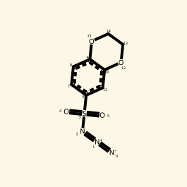 [N-]=[N+]=NS(=O)(=O)c1ccc2c(c1)OCCO2